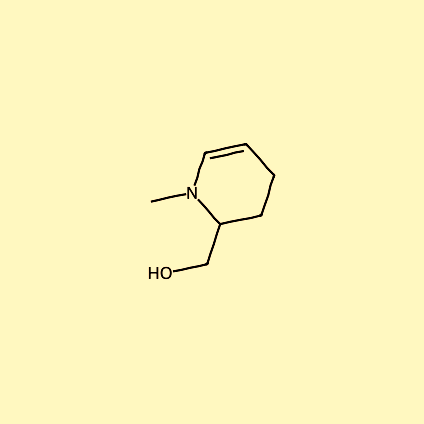 CN1C=CCCC1CO